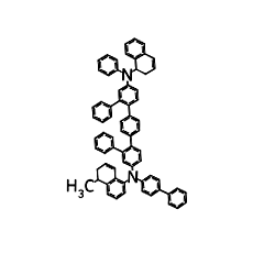 CC1CC=Cc2c1cccc2N(c1ccc(-c2ccccc2)cc1)c1ccc(-c2ccc(-c3ccc(N(c4ccccc4)C4CC=Cc5ccccc54)cc3-c3ccccc3)cc2)c(-c2ccccc2)c1